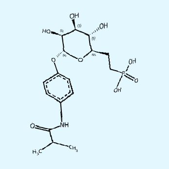 CC(C)C(=O)Nc1ccc(O[C@H]2O[C@H](CCP(=O)(O)O)[C@@H](O)[C@H](O)[C@@H]2O)cc1